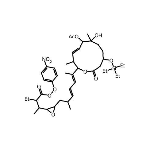 CCC(C(=O)OOc1ccc([N+](=O)[O-])cc1)C(C)C1OC1CC(C)/C=C/C=C(\C)C1OC(=O)CC(O[Si](CC)(CC)CC)CCC(C)(O)C(OC(C)=O)/C=C/C1C